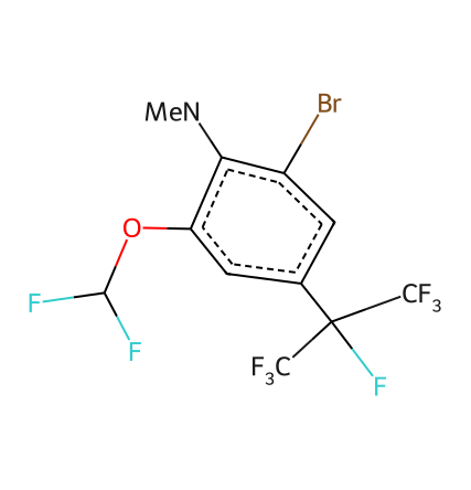 CNc1c(Br)cc(C(F)(C(F)(F)F)C(F)(F)F)cc1OC(F)F